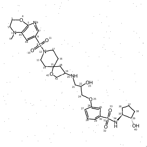 CN1CCOc2ncc(S(=O)(=O)N3CCC4(CC3)CC(NCC(O)COc3cccc(S(=O)(=O)N[C@H]5CCC[C@@H]5O)c3)CO4)cc21